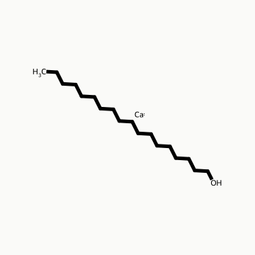 CCCCCCCCCCCCCCCCCCO.[Ca]